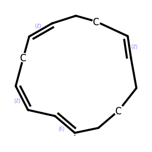 [C]1=C/C=C\C/C=C\CC/C=C\CCC/1